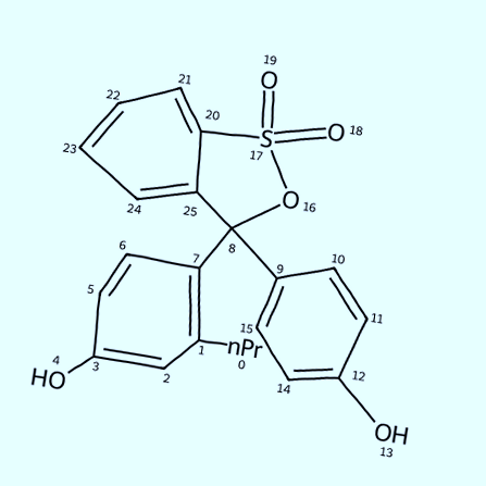 CCCc1cc(O)ccc1C1(c2ccc(O)cc2)OS(=O)(=O)c2ccccc21